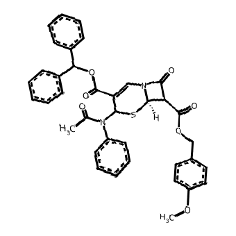 COc1ccc(COC(=O)C2C(=O)N3C=C(C(=O)OC(c4ccccc4)c4ccccc4)C(N(C(C)=O)c4ccccc4)S[C@H]23)cc1